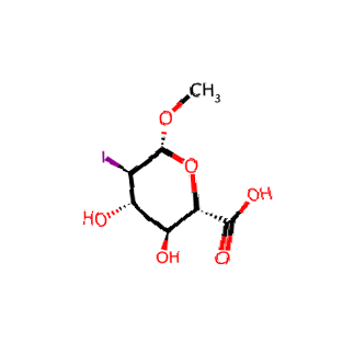 CO[C@@H]1O[C@H](C(=O)O)[C@@H](O)[C@H](O)[C@H]1I